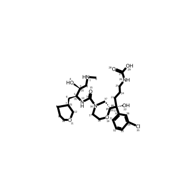 CNC[C@H](O)[C@H](C[C@@H]1CCCOC1)NC(=O)N1CCO[C@@H]([C@@](O)(CCCNC(=O)O)c2cccc(Cl)c2)C1